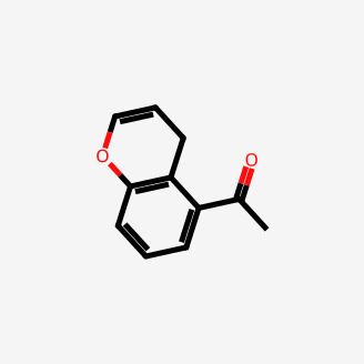 CC(=O)c1cccc2c1CC=CO2